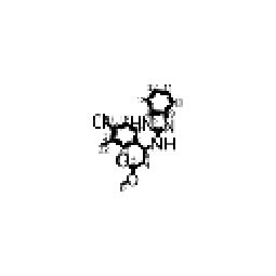 COC(=O)CC(Nc1nc2ccccc2[nH]1)c1ccc(Cl)c(C)c1